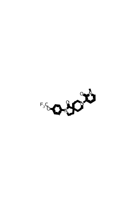 Cn1cccc(N2CCC3(CC2)CCN(c2ccc(OC(F)(F)F)cc2)C3=O)c1=O